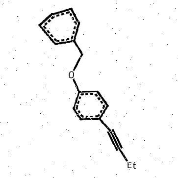 CCC#Cc1ccc(OCc2ccccc2)cc1